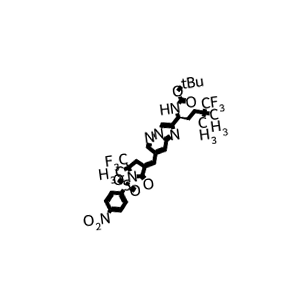 CC(C)(C)OC(=O)N[C@@H](CCC(C)(C)C(F)(F)F)c1cn2ncc(/C=C3\C[C@@](C)(C(F)(F)F)N(S(=O)(=O)c4ccc([N+](=O)[O-])cc4)C3=O)cc2n1